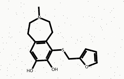 CN1CCc2cc(O)c(O)c(SCc3ccco3)c2CC1